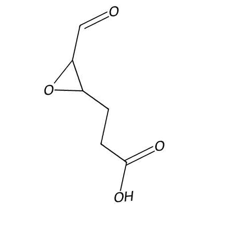 O=CC1OC1CCC(=O)O